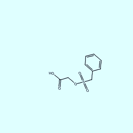 O=C(O)COS(=O)(=O)Cc1ccccc1